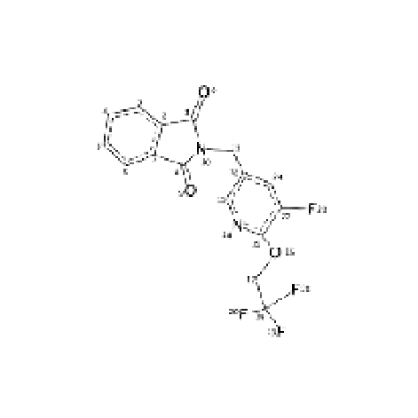 O=C1c2ccccc2C(=O)N1Cc1cnc(OCC(F)(F)F)c(F)c1